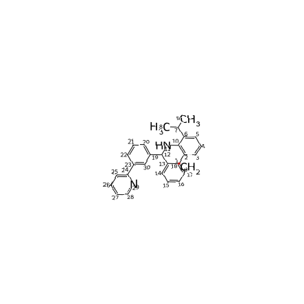 C=Cc1cccc(C(C)C)c1NC(c1ccccc1)c1cccc(-c2ccccn2)c1